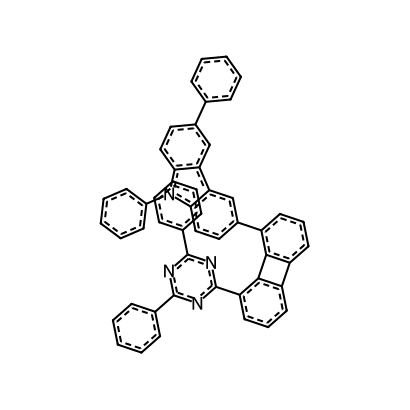 c1ccc(-c2ccc3c(c2)c2cc(-c4cccc5c4-c4c(-c6nc(-c7ccccc7)nc(-c7ccccc7)n6)cccc4-5)ccc2n3-c2ccccc2)cc1